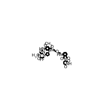 COc1cc(C(=O)NCCOCCNc2cccc3c2C(=O)N(C2CCC(=O)NC2=O)C3=O)c(F)cc1Nc1ncc2c(n1)N(C1CCCC1)CC(F)(F)C(=O)N2C